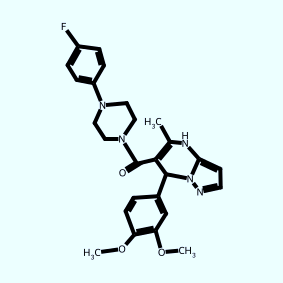 COc1ccc(C2C(C(=O)N3CCN(c4ccc(F)cc4)CC3)=C(C)Nc3ccnn32)cc1OC